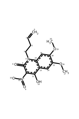 C=CCCn1c(=O)c([N+](=O)[O-])c(O)c2cc(OC)c(OC)cc21